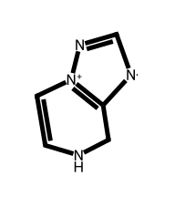 C1=C[N+]2=C(CN1)[N]C=N2